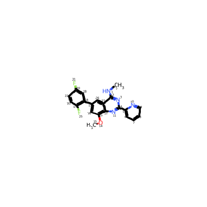 CNc1nc(-c2ccccn2)nc2c(OC)cc(-c3cc(F)ccc3F)cc12